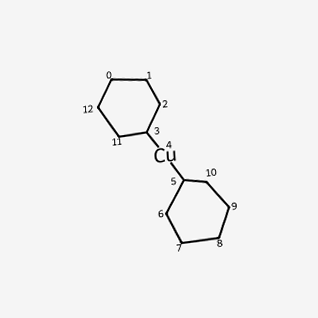 C1CC[CH]([Cu][CH]2CCCCC2)CC1